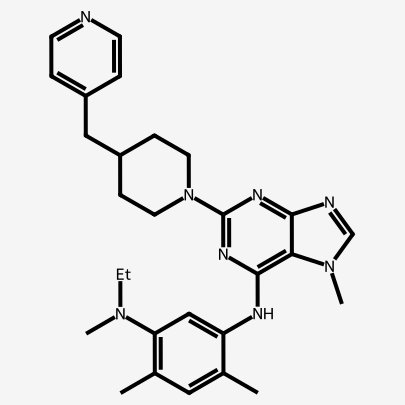 CCN(C)c1cc(Nc2nc(N3CCC(Cc4ccncc4)CC3)nc3ncn(C)c23)c(C)cc1C